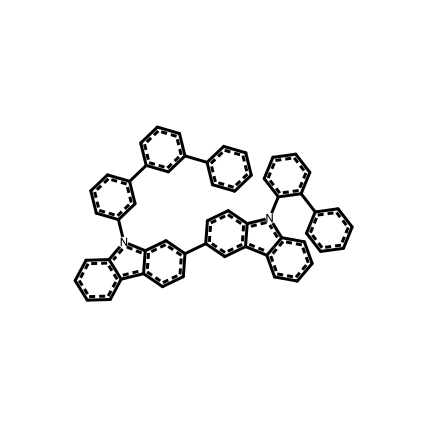 c1ccc(-c2cccc(-c3cccc(-n4c5ccccc5c5ccc(-c6ccc7c(c6)c6ccccc6n7-c6ccccc6-c6ccccc6)cc54)c3)c2)cc1